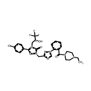 CCN1CCN(C(=O)c2ccccc2-n2cnc(Cn3nc(-c4ccc(Cl)cc4)n(C[C@H](O)C(F)(F)F)c3=O)n2)CC1